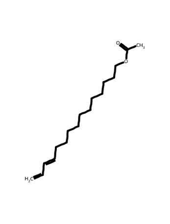 C=C/C=C/CCCCCCCCCCCOC(C)=O